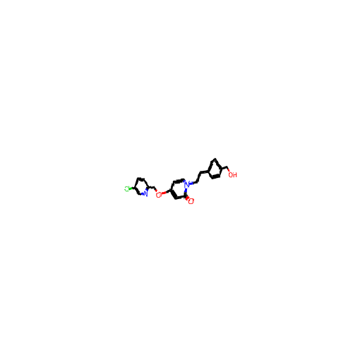 O=c1cc(OCc2ccc(Cl)cn2)ccn1CCc1ccc(CO)cc1